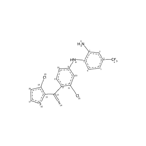 Nc1cc(C(F)(F)F)ccc1Nc1ccc(C(=S)c2sccc2Cl)c(Cl)c1